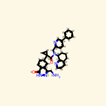 NCc1n[nH]c(=O)c2ccc(C3(C(=O)N(Cc4ccc(-c5ccccc5)cn4)C4CCCc5cccnc54)CC3)cc12